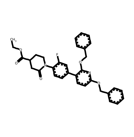 CCOC(=O)C1CCN(c2ccc(-c3ccc(OCc4ccccc4)nc3OCc3ccccc3)cc2F)C(=O)C1